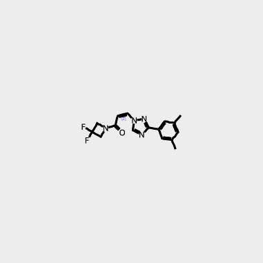 Cc1cc(C)cc(-c2ncn(/C=C\C(=O)N3CC(F)(F)C3)n2)c1